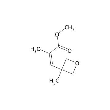 COC(=O)C(C)=CC1(C)COC1